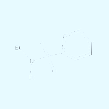 CCN(CC)S(=O)(=O)c1cc[c]cc1